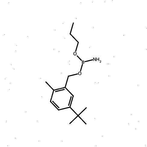 CCCOB(N)OCc1cc(C(C)(C)C)ccc1C